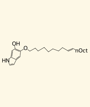 CCCCCCCCC=CCCCCCCCCOc1cc2cc[nH]c2cc1O